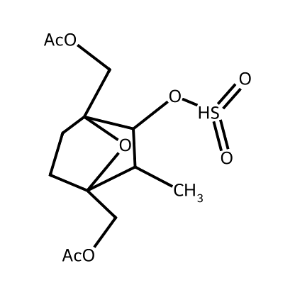 CC(=O)OCC12CCC(COC(C)=O)(O1)C(O[SH](=O)=O)C2C